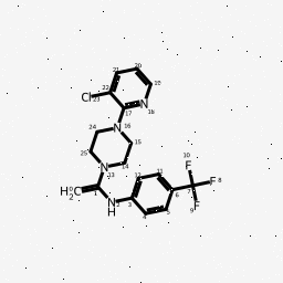 C=C(Nc1ccc(C(F)(F)F)cc1)N1CCN(c2ncccc2Cl)CC1